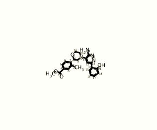 COC(=O)c1ccc([C@H]2CN(c3cc(-c4ccccc4O)nnc3N)CCO2)c(C)c1